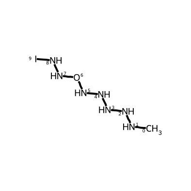 CNNNNNONNI